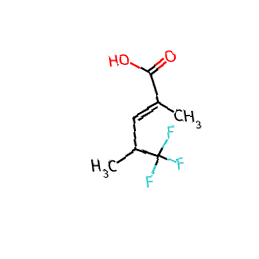 CC(=CC(C)C(F)(F)F)C(=O)O